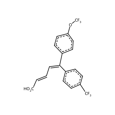 O=C(O)C=CC=C(c1ccc(OC(F)(F)F)cc1)c1ccc(C(F)(F)F)cc1